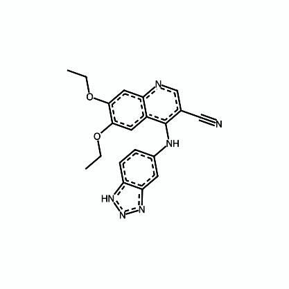 CCOc1cc2ncc(C#N)c(Nc3ccc4[nH]nnc4c3)c2cc1OCC